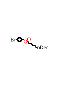 CCCCCCCCCCCCCCCC(=O)OCc1ccc(Br)cc1